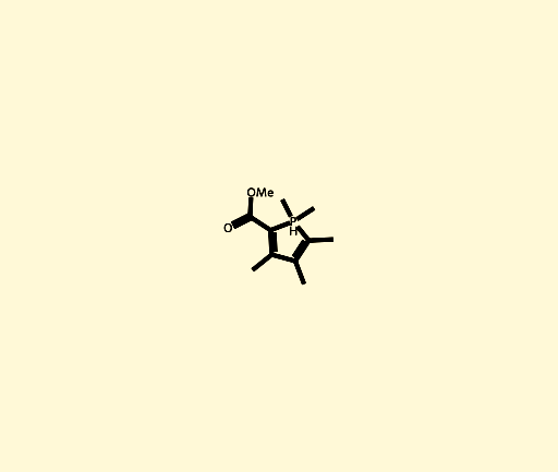 COC(=O)C1=C(C)C(C)=C(C)[PH]1(C)C